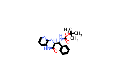 CC(C)(C)OC(=O)N[C@H](c1ccccc1)[C@@H]1Nc2ncccc2NC1=O